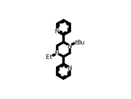 CCN1CC(c2ccccn2)N(C(C)(C)C)CC1c1ccccn1